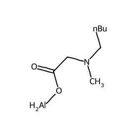 CCCCCN(C)CC(=O)[O][AlH2]